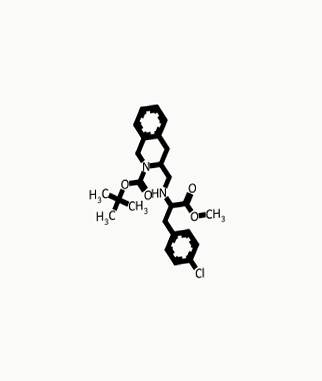 COC(=O)C(Cc1ccc(Cl)cc1)NCC1Cc2ccccc2CN1C(=O)OC(C)(C)C